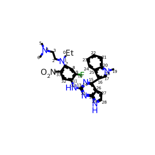 CCN(CCN(C)C)c1cc(F)c(Nc2nc(-c3cn(C)c4ccccc34)c3cc[nH]c3n2)cc1[N+](=O)[O-]